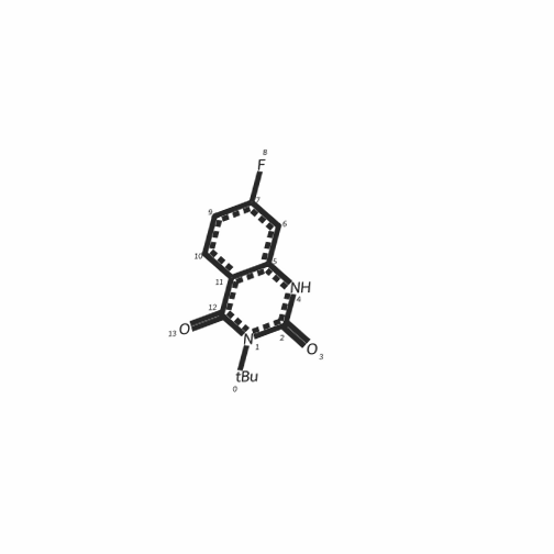 CC(C)(C)n1c(=O)[nH]c2cc(F)ccc2c1=O